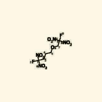 O=[N+]([O-])C(F)([CH]CCOCC(F)([N+](=O)[O-])[N+](=O)[O-])[N+](=O)[O-]